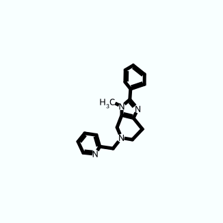 Cn1c(-c2ccccc2)nc2c1CN(Cc1ccccn1)CC2